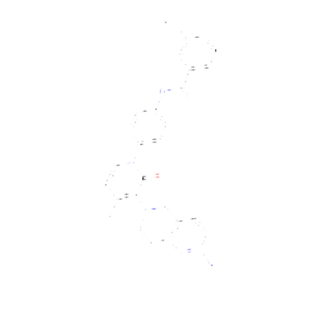 COc1cccc(C(=O)Nc2ccc(-n3ccc(C)c(N4CCc5nc(N)ncc5C4)c3=O)cc2)c1